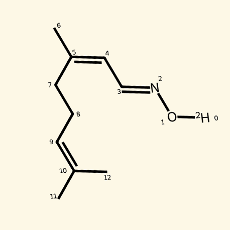 [2H]ON=CC=C(C)CCC=C(C)C